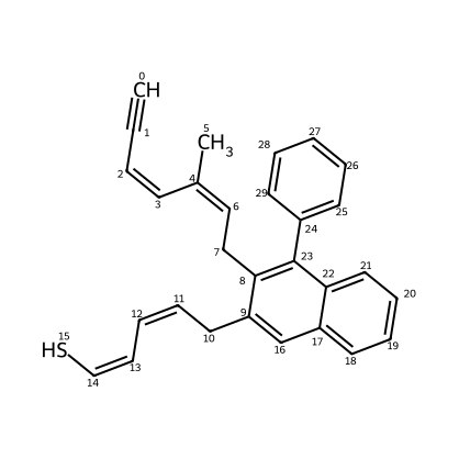 C#C/C=C\C(C)=C/Cc1c(C/C=C\C=C/S)cc2ccccc2c1-c1ccccc1